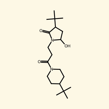 CC(C)(C)C1CCN(C(=O)CCN2C(=O)C(C(C)(C)C)CC2O)CC1